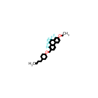 C=CCCC1CCC(OCc2ccc3c(c2F)C(F)(F)C(F)(F)c2c-3ccc(OCC)c2F)CC1